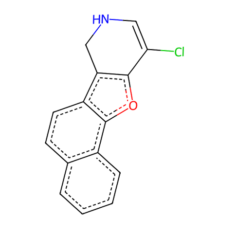 ClC1=CNCc2c1oc1c2ccc2ccccc21